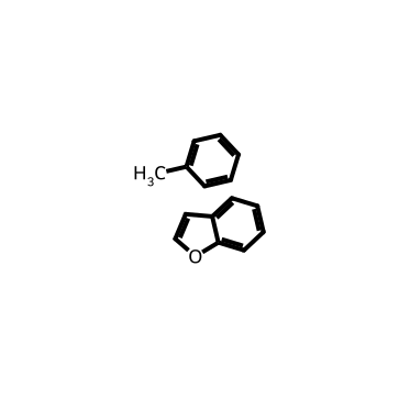 Cc1ccccc1.c1ccc2occc2c1